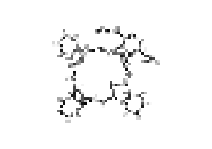 CCCCCc1ccc(C)c2c3nc4nc(nc5[nH]c(nc6nc(nc([nH]3)c12)-c1ccccc1-6)c1ccccc51)-c1ccccc1-4